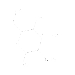 CC(=O)NC1C(OC(C)=O)OC(COC(C)=O)C(OC(C)=O)[C@@H]1OC(C)=O